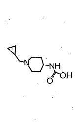 O=C(O)NC1CCN(CC2CC2)CC1